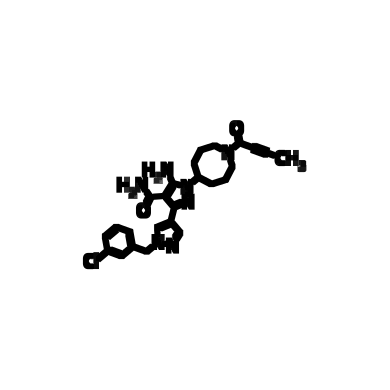 CC#CC(=O)N1CCCC(n2nc(-c3cnn(Cc4cccc(Cl)c4)c3)c(C(N)=O)c2N)CCC1